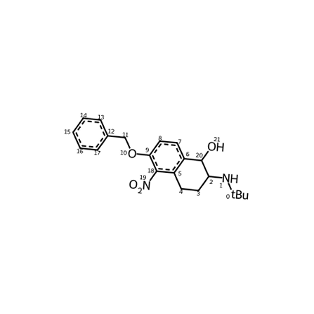 CC(C)(C)NC1CCc2c(ccc(OCc3ccccc3)c2[N+](=O)[O-])C1O